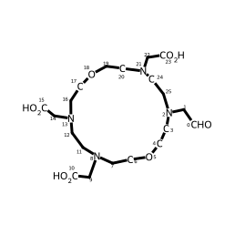 O=CCN1CCOCCN(CC(=O)O)CCN(CC(=O)O)CCOCCN(CC(=O)O)CC1